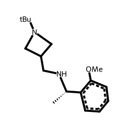 COc1ccccc1[C@H](C)NCC1CN(C(C)(C)C)C1